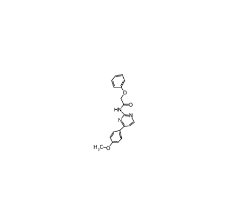 COc1ccc(-c2ccnc(NC(=O)COc3ccccc3)n2)cc1